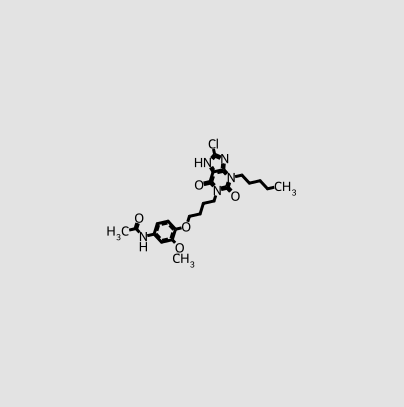 CCCCCn1c(=O)n(CCCCOc2ccc(NC(C)=O)cc2OC)c(=O)c2[nH]c(Cl)nc21